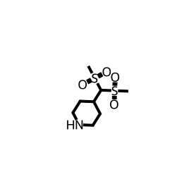 CS(=O)(=O)C(C1CCNCC1)S(C)(=O)=O